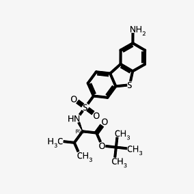 CC(C)[C@@H](NS(=O)(=O)c1ccc2c(c1)sc1ccc(N)cc12)C(=O)OC(C)(C)C